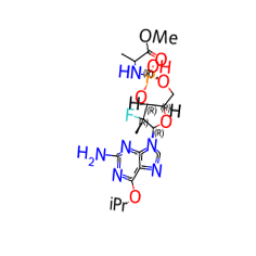 COC(=O)C(C)N[P@@]1(O)OC[C@H]2O[C@@H](n3cnc4c(OC(C)C)nc(N)nc43)[C@](C)(F)[C@@H]2O1